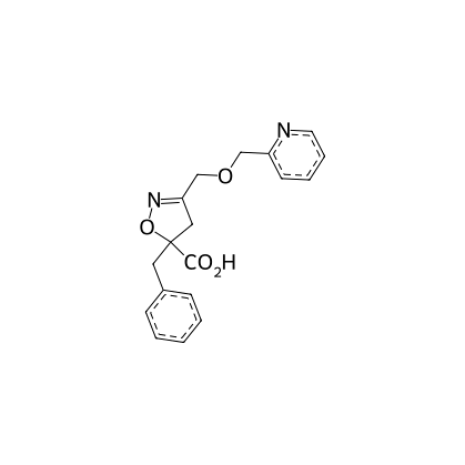 O=C(O)C1(Cc2ccccc2)CC(COCc2ccccn2)=NO1